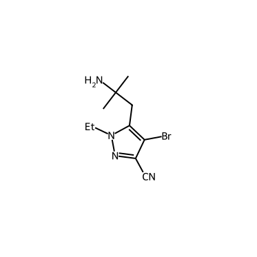 CCn1nc(C#N)c(Br)c1CC(C)(C)N